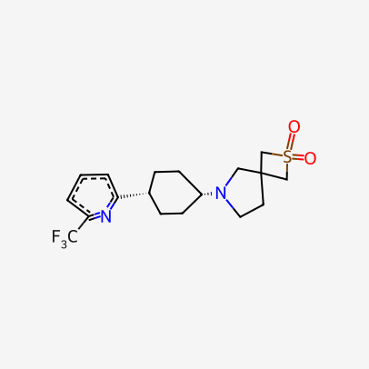 O=S1(=O)CC2(CCN([C@H]3CC[C@@H](c4cccc(C(F)(F)F)n4)CC3)C2)C1